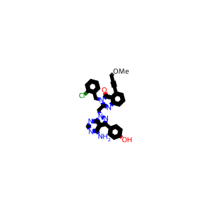 COCC#Cc1cccc2nc(Cn3nc(-c4ccc(O)cc4)c4c(N)ncnc43)n(Cc3ccccc3Cl)c(=O)c12